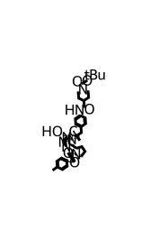 Cc1ccc(S(=O)(=O)N2CCCC2c2nnnn2[C@@](C)(Cc2ccc(NC(=O)C3CCN(C(=O)OC(C)(C)C)CC3)cc2)C(=O)O)cc1